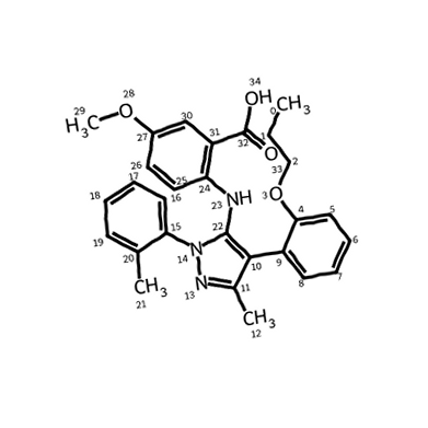 CCCOc1ccccc1-c1c(C)nn(-c2ccccc2C)c1Nc1ccc(OC)cc1C(=O)O